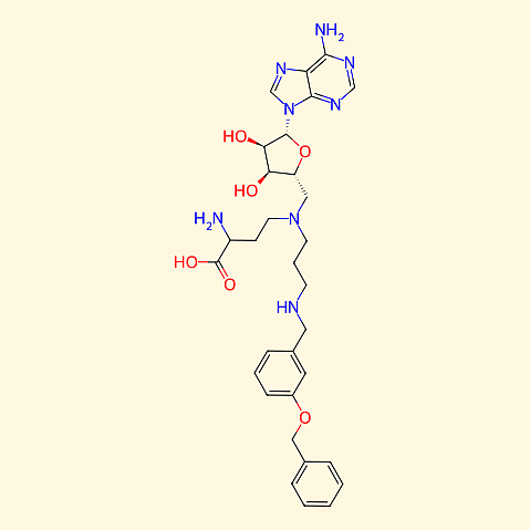 Nc1ncnc2c1ncn2[C@@H]1O[C@H](CN(CCCNCc2cccc(OCc3ccccc3)c2)CCC(N)C(=O)O)[C@@H](O)[C@H]1O